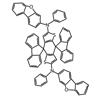 c1ccc(N(c2ccc3c(c2)oc2ccccc23)c2cc3c(s2)C2(c4ccccc4-c4ccccc42)c2cc(N(c4ccccc4)c4ccc5c(c4)oc4ccccc45)sc2C32c3ccccc3-c3ccccc32)cc1